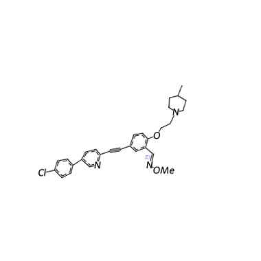 CO/N=C/c1cc(C#Cc2ccc(-c3ccc(Cl)cc3)cn2)ccc1OCCN1CCC(C)CC1